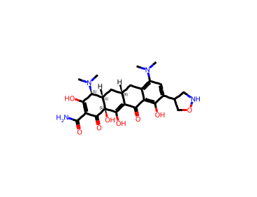 CN(C)c1cc(C2CNOC2)c(O)c2c1C[C@H]1C[C@H]3[C@H](N(C)C)C(O)=C(C(N)=O)C(=O)[C@@]3(O)C(O)=C1C2=O